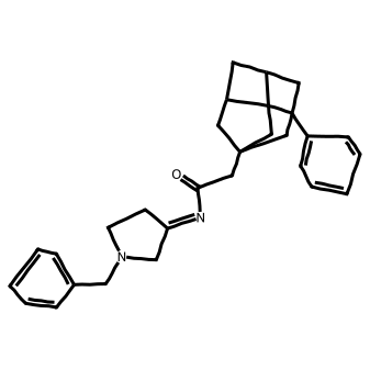 O=C(CC12CC3CC4CC(c5ccccc5)(C1)C34C2)/N=C1\CCN(Cc2ccccc2)C1